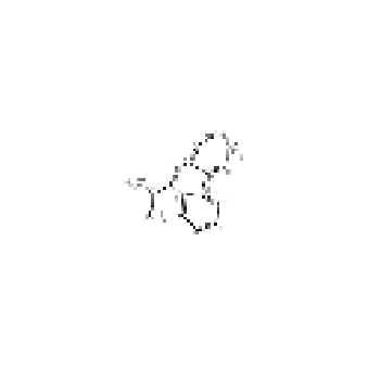 C/C=c1/cc(C(C)C)c2ccccc2/c1=C/C